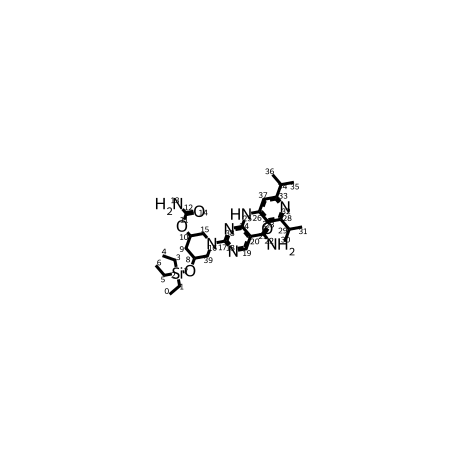 CC[Si](CC)(CC)OC1CC(OC(N)=O)CN(c2ncc(C(N)=O)c(Nc3cc(C(C)C)nc(C(C)C)c3)n2)C1